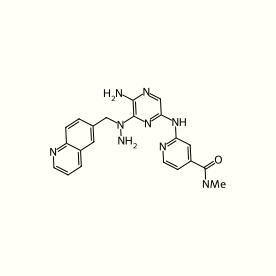 CNC(=O)c1ccnc(Nc2cnc(N)c(N(N)Cc3ccc4ncccc4c3)n2)c1